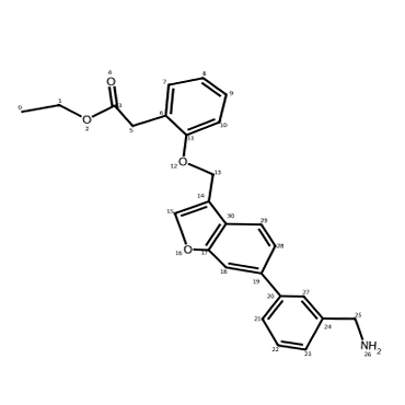 CCOC(=O)Cc1ccccc1OCc1coc2cc(-c3cccc(CN)c3)ccc12